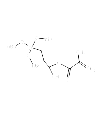 C=C(C)C(=O)OC(C)CC[Si](OCCCC)(OCCCC)OCCCC